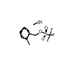 CS.Cc1ccccc1COS(=O)(=O)C(F)(F)F